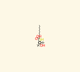 CCCCCCCCCCC(S)(Cc1cc(C(C)(C)C)c(O)c(C(C)(C)C)c1)C(=O)O